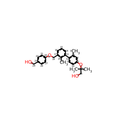 Cc1cc(OC(C)(C)CO)ccc1-c1cccc(COc2ccc(CO)cc2)c1C